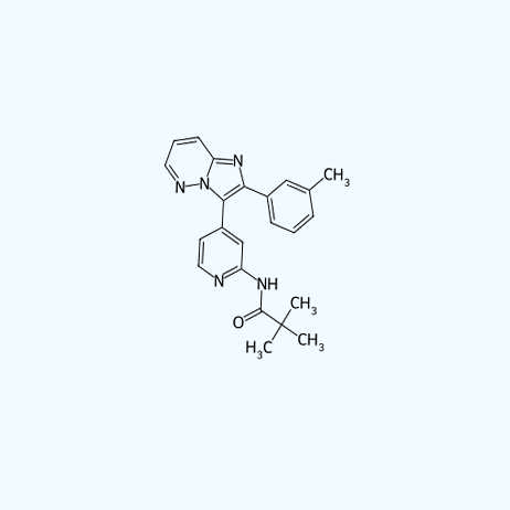 Cc1cccc(-c2nc3cccnn3c2-c2ccnc(NC(=O)C(C)(C)C)c2)c1